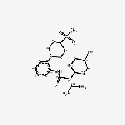 CS(=O)(=O)C1CCN(c2ccncc2NC(=O)C(C(N)N)C2NCC(F)CN2)CC1